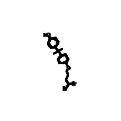 CC(C)(c1ccc(O)cc1)c1ccc(OCCCC(Br)Br)cc1